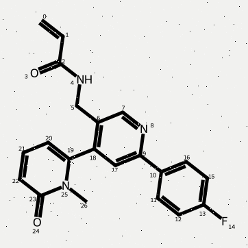 C=CC(=O)NCc1cnc(-c2ccc(F)cc2)cc1-c1cccc(=O)n1C